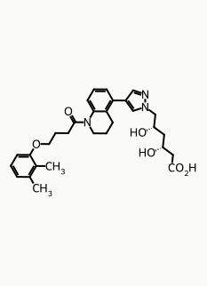 Cc1cccc(OCCCC(=O)N2CCCc3c(-c4cnn(C[C@@H](O)C[C@@H](O)CC(=O)O)c4)cccc32)c1C